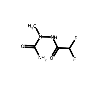 CN(NC(=O)C(F)F)C(N)=O